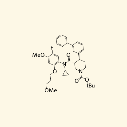 COCCCOc1cc(OC)c(F)cc1N(C(=O)[C@H]1CN(C(=O)OC(C)(C)C)CC[C@@H]1c1cccc(-c2ccccc2)c1)C1CC1